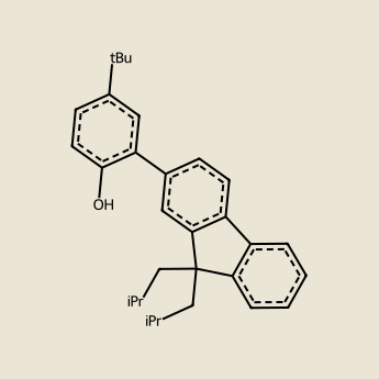 CC(C)CC1(CC(C)C)c2ccccc2-c2ccc(-c3cc(C(C)(C)C)ccc3O)cc21